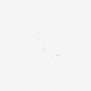 C=CN1C=CN(C(N)=O)C1C.Cl